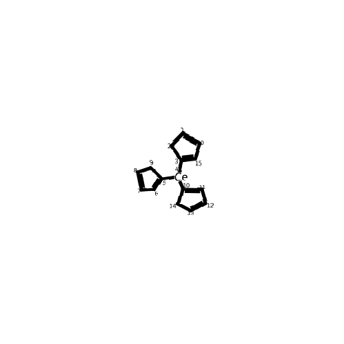 C1=CC[C]([Ce]([C]2=CC=CC2)[C]2=CC=CC2)=C1